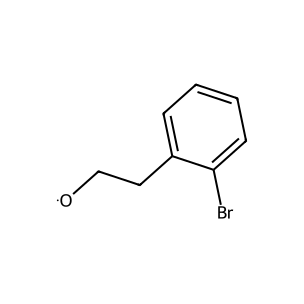 [O]CCc1ccccc1Br